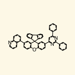 c1ccc(-c2cc(-c3ccc4c(c3)C3(c5cc(-c6cccc7ncccc67)ccc5O4)c4ccccc4-c4ccccc43)nc(-c3ccccc3)n2)cc1